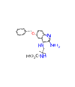 CC(C)(CNc1c(N)cnc2ccc(OCc3ccccc3)cc12)NC(=O)O